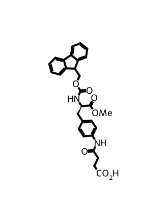 COC(=O)[C@@H](Cc1ccc(NC(=O)CCC(=O)O)cc1)NC(=O)OCC1c2ccccc2-c2ccccc21